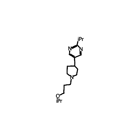 CC(C)OCCCN1CCC(c2cnc(C(C)C)nc2)CC1